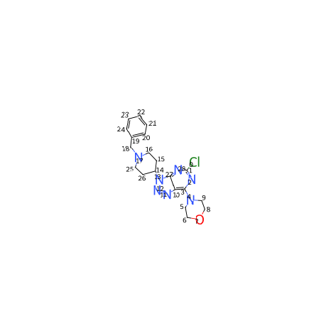 Clc1nc(N2CCOCC2)c2nnn(C3CCN(Cc4ccccc4)CC3)c2n1